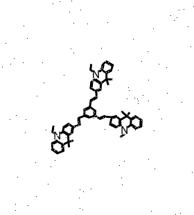 CCN1c2ccccc2C(C)(C)c2cc(/C=C/c3cc(/C=C/c4ccc5c(c4)C(C)(C)c4ccccc4N5CC)cc(/C=C/c4ccc5c(c4)C(C)(C)c4ccccc4N5CC)c3)ccc21